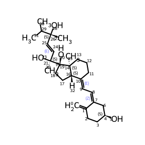 C=C1CC[C@H](O)C/C1=C/C=C1\CCC[C@@]2(C)[C@H]1CC[C@]2(O)[C@@](C)(O)/C=C/[C@@](C)(O)C(C)C